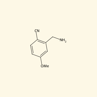 COc1ccc(C#N)c(CN)c1